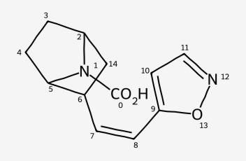 O=C(O)N1C2CCC1C(/C=C\c1ccno1)C2